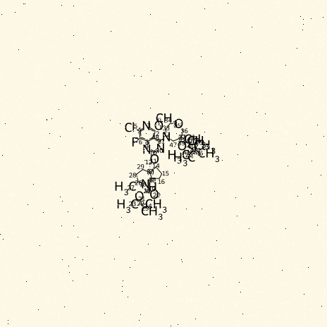 COc1nc(Cl)c(F)c2nc(OC[C@]34CCC[C@H]3N(C(=O)OC(C)(C)C)C(C)CC4)nc(N3CCOC[C@@](C)(O[Si](C)(C)C(C)(C)C)C3)c12